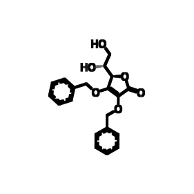 O=C1O[C@H]([C@H](O)CO)C(OCc2ccccc2)=C1OCc1ccccc1